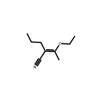 CCC/C(C#N)=C(/C)OCC